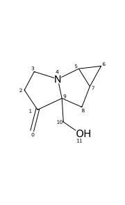 C=C1CCN2C3CC3CC12CO